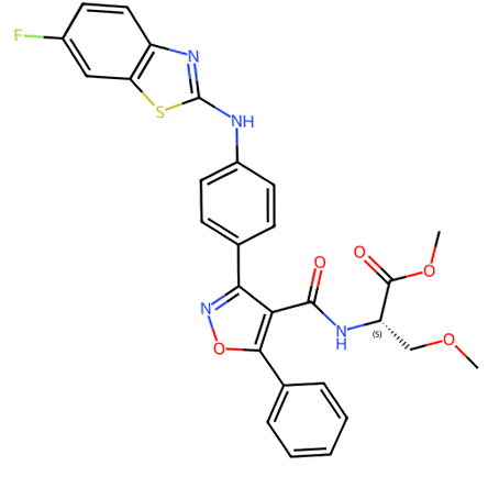 COC[C@H](NC(=O)c1c(-c2ccc(Nc3nc4ccc(F)cc4s3)cc2)noc1-c1ccccc1)C(=O)OC